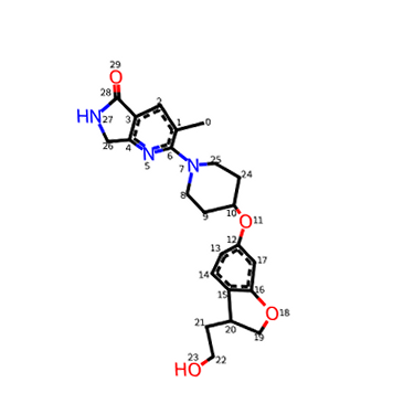 Cc1cc2c(nc1N1CCC(Oc3ccc4c(c3)OCC4CCO)CC1)CNC2=O